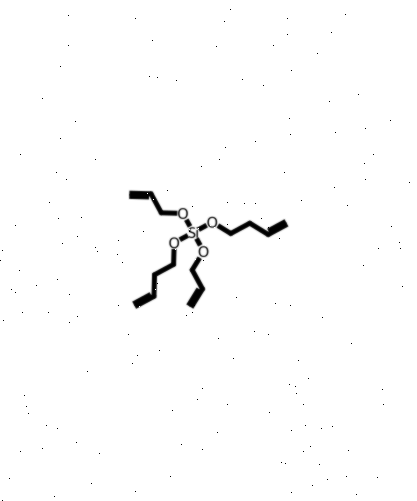 C=CCCO[Si](OCC=C)(OCC=C)OCCC=C